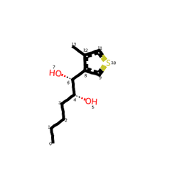 CCCC[C@@H](O)[C@H](O)c1cscc1C